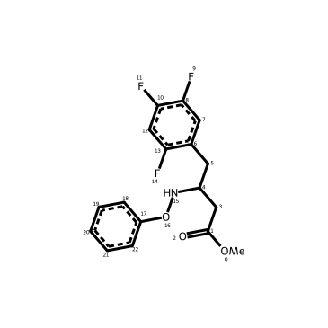 COC(=O)CC(Cc1cc(F)c(F)cc1F)NOc1ccccc1